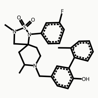 Cc1ccccc1-c1cc(CN2CCC3(CC2C)CN(C)S(=O)(=O)N3c2cccc(F)c2)ccc1O